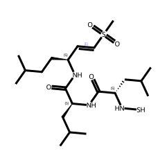 CC(C)CC[C@@H](/C=C/S(C)(=O)=O)NC(=O)[C@H](CC(C)C)NC(=O)[C@H](CC(C)C)NS